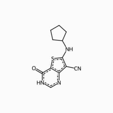 N#Cc1c(NC2CCCC2)sc2c(=O)[nH]cnc12